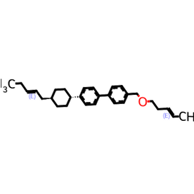 C/C=C/CCOCc1ccc(-c2ccc([C@H]3CC[C@H](C/C=C/CC)CC3)cc2)cc1